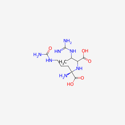 CC(NC(=N)N)C(N[C@@](N)(CCCNC(N)=O)C(=O)O)C(=O)O